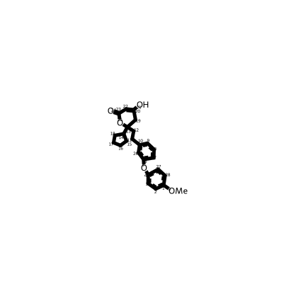 COc1ccc(Oc2cccc(CCC3(C4CCCC4)CC(O)=CC(=O)O3)c2)cc1